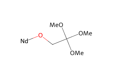 COC(C[O][Nd])(OC)OC